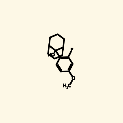 COc1ccc(C2(O)C3CCCC2CCC3)c(F)c1